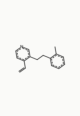 C=Cc1ccncc1CCc1ccccc1C